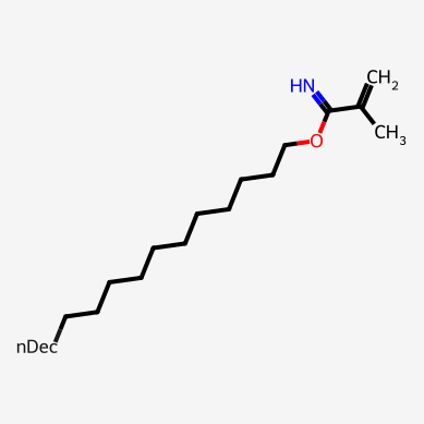 C=C(C)C(=N)OCCCCCCCCCCCCCCCCCCCCC